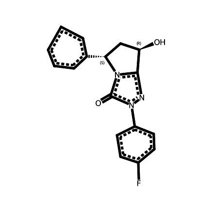 O=c1n(-c2ccc(F)cc2)nc2n1[C@H](c1ccccc1)C[C@H]2O